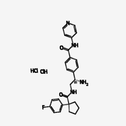 Cl.Cl.N[C@H](CNC(=O)C1(c2ccc(F)cc2)CCCC1)c1ccc(C(=O)Nc2ccncc2)cc1